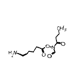 CCCC(=O)N(C=O)OC(=O)CCCCN